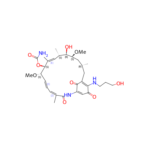 CO[C@H]1/C=C/C=C(/C)C(=O)NC2=CC(=O)C(NCCCO)=C(C[C@@H](C)C[C@H](OC)[C@H](O)[C@@H](C)/C=C(\C)[C@@H]1OC(N)=O)C2=O